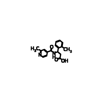 Cc1cc(C(=O)NC(CC(=O)O)c2ccccc2C)ccn1